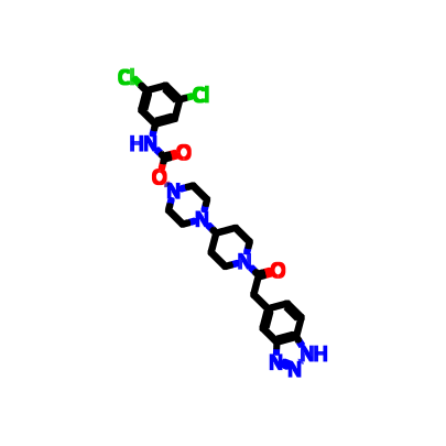 O=C(Nc1cc(Cl)cc(Cl)c1)ON1CCN(C2CCN(C(=O)Cc3ccc4[nH]nnc4c3)CC2)CC1